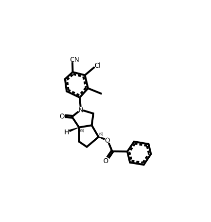 Cc1c(N2CC3[C@@H](OC(=O)c4ccccc4)CC[C@@H]3C2=O)ccc(C#N)c1Cl